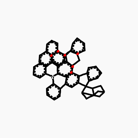 c1ccc(-c2ccc(-c3ccccc3N(c3ccccc3-c3ccc4c(c3)C3(c5ccccc5-4)C4CC5CC(C4)C3C5)c3ccccc3-c3cccc4cccc(C5CCCCC5)c34)cc2)cc1